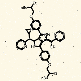 CCCCC(CC)COc1ccc(C2=c3c(c(-c4ccc(OCC(CC)CCCC)cc4)[nH]/c3=C(/C#N)c3ccccn3)C(C(c3ccccn3)C3CN3)N2)cc1